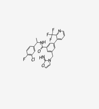 CC(NC(=O)c1cc(Cn2ccoc2=N)cc(-c2cccnc2C(F)(F)F)c1)c1ccc(F)c(Cl)c1